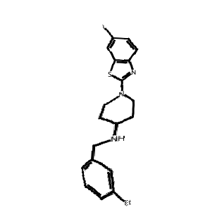 CCc1cccc(CNC2CCN(c3nc4ccc(I)cc4s3)CC2)c1